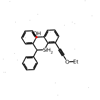 CCOC#Cc1cccc(CO)c1[SiH2]C(c1ccccc1)c1ccccc1